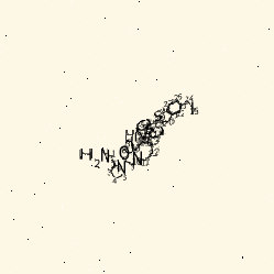 NC[C@@H]1CCCN1C(=O)CN1CCC[C@H](NS(=O)(=O)C2Cc3cc(CI)ccc3S2)C1=O